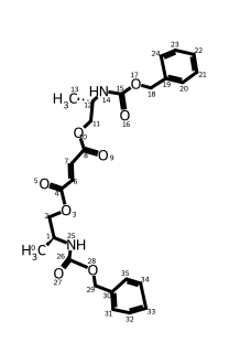 C[C@@H](COC(=O)/C=C/C(=O)OC[C@H](C)NC(=O)OCc1ccccc1)NC(=O)OCc1ccccc1